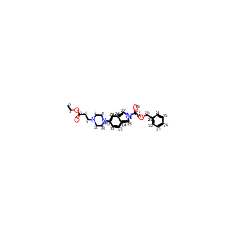 CCOC(=O)CCN1CCN(c2ccc3cn(C(=O)OCc4ccccc4)cc3c2)CC1